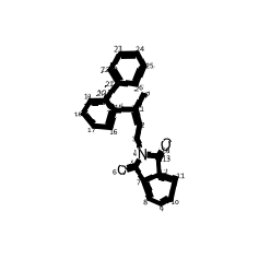 CC(=CCN1C(=O)c2ccccc2C1=O)c1ccccc1-c1ccccc1